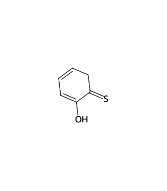 OC1=CC=CCC1=S